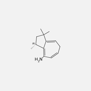 C[C@@H]1CC(C)(C)C2=CCC=CC(N)=C21